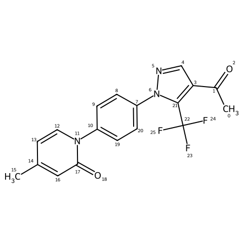 CC(=O)c1cnn(-c2ccc(-n3ccc(C)cc3=O)cc2)c1C(F)(F)F